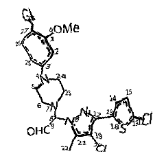 COc1cc(N2CCN(C(C=O)n3nc(-c4ccc(Cl)s4)c(Cl)c3C)CC2)ccc1Cl